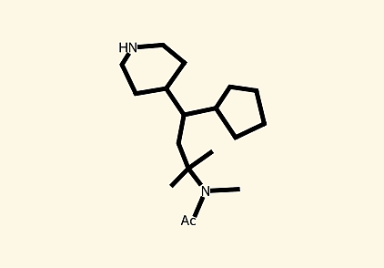 CC(=O)N(C)C(C)(C)CC(C1CCCC1)C1CCNCC1